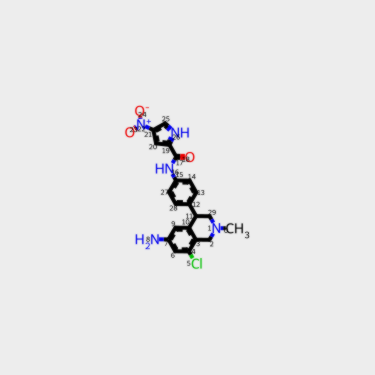 CN1Cc2c(Cl)cc(N)cc2C(c2ccc(NC(=O)c3cc([N+](=O)[O-])c[nH]3)cc2)C1